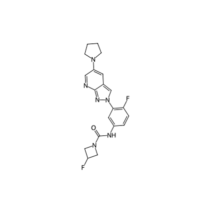 O=C(Nc1ccc(F)c(-n2cc3cc(N4CCCC4)cnc3n2)c1)N1CC(F)C1